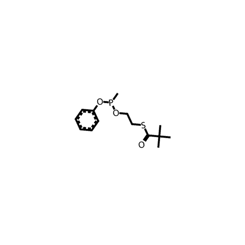 CP(OCCSC(=O)C(C)(C)C)Oc1ccccc1